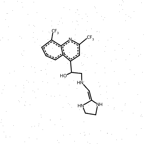 OC(CNC=C1NCCN1)c1cc(C(F)(F)F)nc2c(C(F)(F)F)cccc12